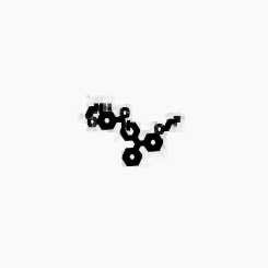 O=C(c1ccc2c(c1)NC=CO2)N1CCC(C(c2ccccc2)c2cccc(OCCF)c2)CC1